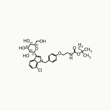 CC(C)(C)OC(=O)NCCOc1ccc(Cn2cc([C@@H]3O[C@H](CO)[C@@H](O)[C@H](O)[C@H]3O)c3cccc(Cl)c32)cc1